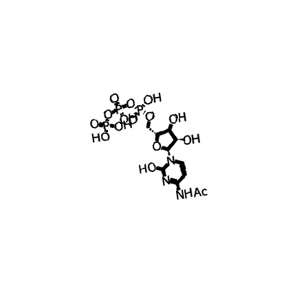 CC(=O)NC1=NC(O)N([C@@H]2O[C@H](COP(=O)(O)OP(=O)(O)OP(=O)(O)O)C(O)[C@@H]2O)C=C1